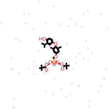 Cc1cc(OCP(=O)(OCOC(=O)C(C)(C)C)OCOC(=O)C(C)(C)C)cc(I)c1Oc1ccc(O)c(C(C)C)c1